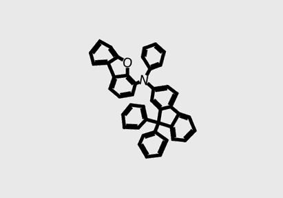 c1ccc(N(c2ccc3c(c2)C(c2ccccc2)(c2ccccc2)c2ccccc2-3)c2cccc3c2oc2ccccc23)cc1